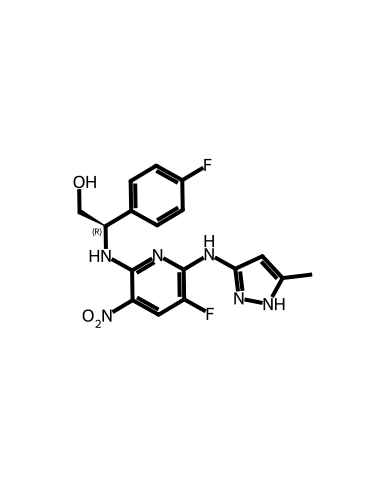 Cc1cc(Nc2nc(N[C@@H](CO)c3ccc(F)cc3)c([N+](=O)[O-])cc2F)n[nH]1